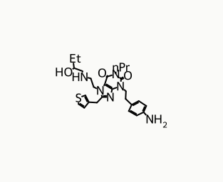 CCCn1c(=O)c2c(nc(Cc3ccsc3)n2CCNCC(O)CC)n(CCc2ccc(N)cc2)c1=O